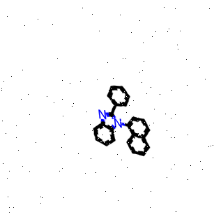 c1ccc(-c2nc3ccccc3n2-c2cccc3ccccc23)cc1